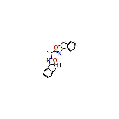 C[C@H](C1=NC2c3ccccc3CC2O1)C1=NC2c3ccccc3C[C@H]2O1